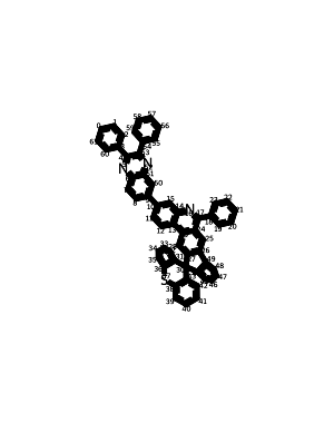 c1ccc(-c2nc3ccc(-c4ccc5c(c4)nc(-c4ccccc4)c4cc6c(cc45)C4(c5ccccc5Sc5ccccc54)c4ccccc4-6)cc3nc2-c2ccccc2)cc1